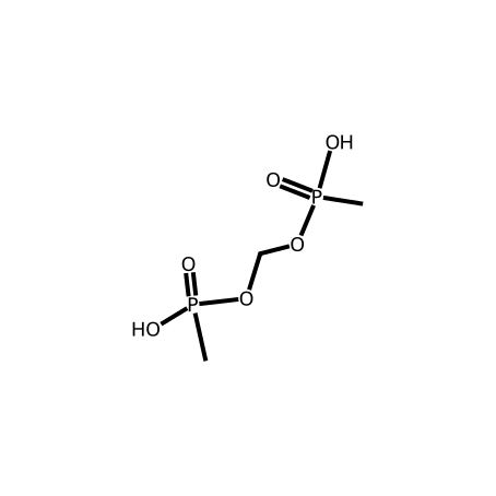 CP(=O)(O)OCOP(C)(=O)O